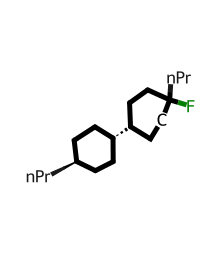 CCCC1(F)CCC([C@H]2CC[C@H](CCC)CC2)CC1